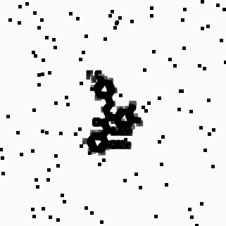 CNC(C(=O)N(CCc1ccc(C(F)(F)F)cc1)c1ccc(C)c(C)c1)c1ccccc1OC